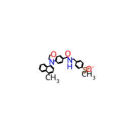 Cc1ccc(N2CCOc3cc(C(=O)NCc4ccc([S+](C)[O-])cc4)ccc32)c2ccccc12